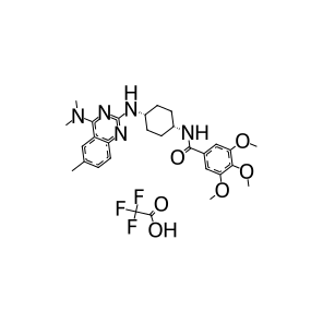 COc1cc(C(=O)N[C@H]2CC[C@@H](Nc3nc(N(C)C)c4cc(C)ccc4n3)CC2)cc(OC)c1OC.O=C(O)C(F)(F)F